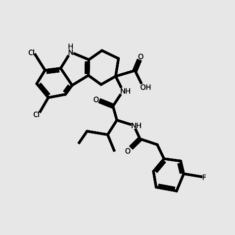 CCC(C)C(NC(=O)Cc1cccc(F)c1)C(=O)NC1(C(=O)O)CCc2[nH]c3c(Cl)cc(Cl)cc3c2C1